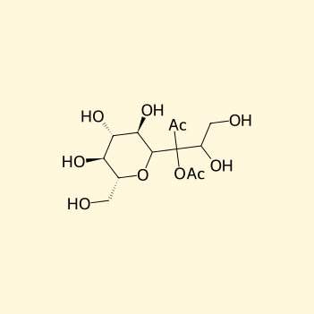 CC(=O)OC(C(C)=O)(C(O)CO)C1O[C@H](CO)[C@@H](O)[C@H](O)[C@H]1O